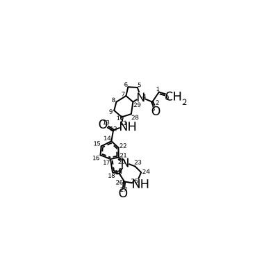 C=CC(=O)N1CCC2CCC(NC(=O)c3ccc4cc5n(c4c3)CCNC5=O)CC21